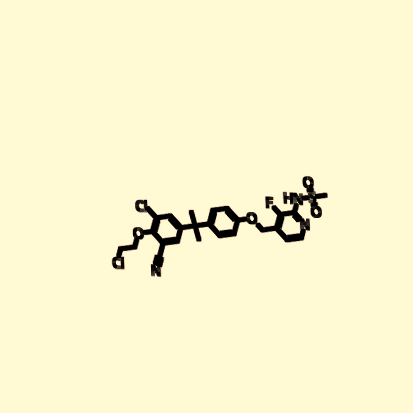 CC(C)(c1ccc(OCc2ccnc(NS(C)(=O)=O)c2F)cc1)c1cc(Cl)c(OCCCl)c(C#N)c1